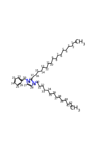 CCCCCCCCCCCCCCCCCCc1n(Cc2ccccc2)cc[n+]1CCCCCCCCCCCCCC